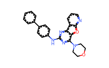 c1ccc(-c2ccc(Nc3nc(N4CCOCC4)c4oc5ncccc5c4n3)cc2)cc1